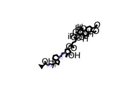 C=C1/C(=C\C=C2/CCC[C@@]3(C)C2CCC3[C@@H](C)/C=C/C(O)C2CC2)C[C@@H](OC(=O)CCC(=O)O[C@@H]2[C@@]3(C(C)C)O[C@H]3[C@@H]3O[C@]34[C@]23O[C@H]3C[C@H]2C3=C(CC[C@@]24C)C(=O)OC3)C[C@@H]1O